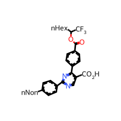 CCCCCCCCCc1ccc(-c2ncc(C(=O)O)c(-c3ccc(C(=O)OC(CCCCCC)C(F)(F)F)cc3)n2)cc1